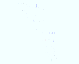 O=C(Nc1ccc(Cl)c(Cl)c1)N[C@H]1CC[C@@H](Nc2ccnc3cc(Cl)ccc23)CC1